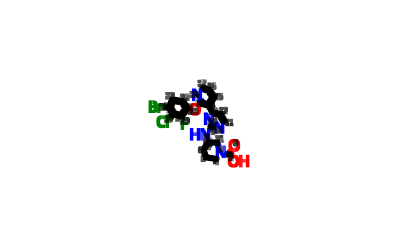 O=C(O)N1CCC[C@H](Nc2nccc(-c3cccnc3Oc3ccc(Br)c(Cl)c3F)n2)C1